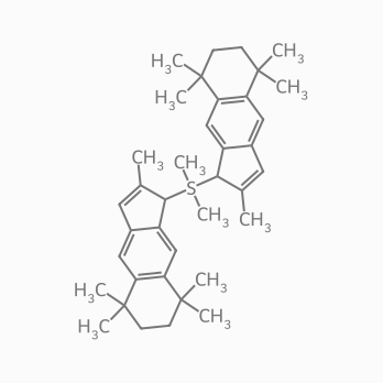 CC1=Cc2cc3c(cc2C1S(C)(C)C1C(C)=Cc2cc4c(cc21)C(C)(C)CCC4(C)C)C(C)(C)CCC3(C)C